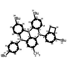 Cc1cc2c3c(c1)N(c1ccc(C(C)(C)C)c4c1CC4)c1ccc(C(C)(C)C)cc1B3c1cc(C(C)(C)C)ccc1N2c1ccc(C(C)(C)C)cc1